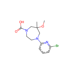 COC1(C)CN(C(=O)O)CCN(c2cccc(Br)n2)C1